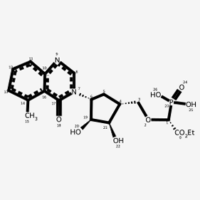 CCOC(=O)[C@H](OC[C@H]1C[C@@H](n2cnc3cccc(C)c3c2=O)[C@H](O)[C@@H]1O)P(=O)(O)O